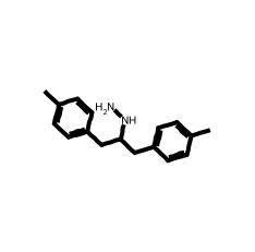 Cc1ccc(CC(Cc2ccc(C)cc2)NN)cc1